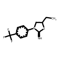 CCC1CN(c2ccc(C(F)(F)F)cc2)C(=N)S1